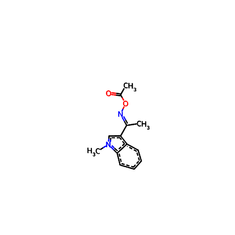 CC(=O)O/N=C(\C)c1cn(C)c2ccccc12